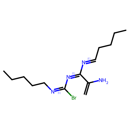 C=C(N)C(/N=C/CCCC)=N\C(Br)=N/CCCCC